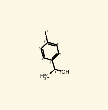 C[C@H](O)c1ccc(I)cc1